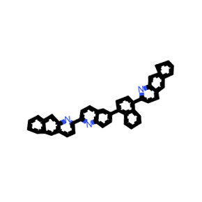 c1ccc2cc3nc(-c4ccc5cc(-c6ccc(-c7ccc8cc9ccccc9cc8n7)c7ccccc67)ccc5n4)ccc3cc2c1